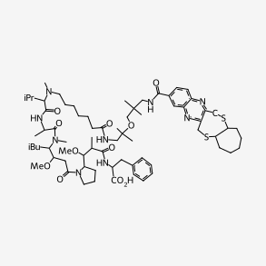 CCC(C)C(C(CC(=O)N1CCCC1C(OC)C(C)C(=O)NC(Cc1ccccc1)C(=O)O)OC)N(C)C(=O)C(C)NC(=O)C(C(C)C)N(C)CCCCCCC(=O)NCC(C)(C)OCC(C)(C)CNC(=O)c1ccc2nc3c(nc2c1)CSC1CCCCCC1SC3